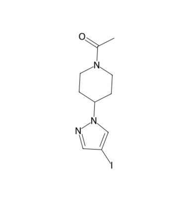 CC(=O)N1CCC(n2cc(I)cn2)CC1